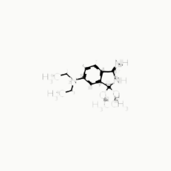 CCN(CC)c1ccc2c(c1)C(OC)(OC)NC2=N